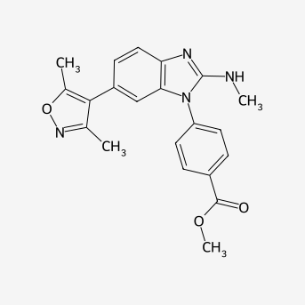 CNc1nc2ccc(-c3c(C)noc3C)cc2n1-c1ccc(C(=O)OC)cc1